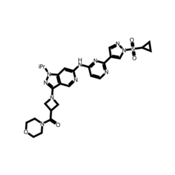 CC(C)n1nc(N2CC(C(=O)N3CCOCC3)C2)c2cnc(Nc3ccnc(-c4cnn(S(=O)(=O)C5CC5)c4)n3)cc21